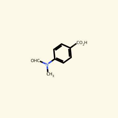 CN(C=O)c1ccc(C(=O)O)cc1